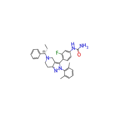 CC[C@@H](c1ccccc1)N1CCc2nn(-c3c(C)cccc3C)c(-c3ccc(NC(N)=O)cc3F)c2C1